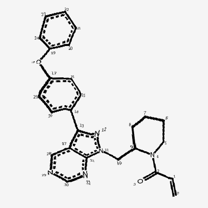 C=CC(=O)N1CCCCC1Cn1nc(-c2ccc(Oc3ccccc3)cc2)c2cncnc21